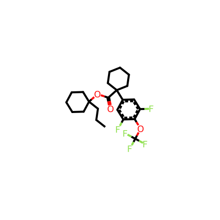 CCCC1(OC(=O)C2(c3cc(F)c(OC(F)(F)F)c(F)c3)CCCCC2)CCCCC1